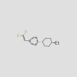 CC[C@H]1CC[C@H](c2ccc(C=C(F)F)cc2)CC1